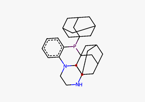 c1ccc(P(C23CC4CC(CC(C4)C2)C3)C23CC4CC(CC(C4)C2)C3)c(N2CCNCC2)c1